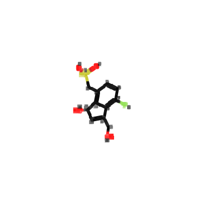 O=[SH](=O)Cc1ccc(F)c2c1C(O)C=C2CO